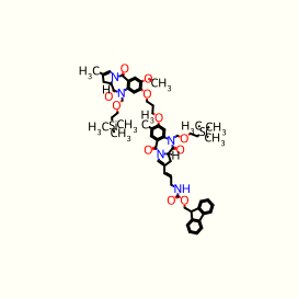 COc1cc2c(cc1OCCCOc1cc3c(cc1C)C(=O)N1C=C(/C=C/CNC(=O)OCC4c5ccccc5-c5ccccc54)C[C@H]1C(=O)N3COCC[Si](C)(C)C)N(COCC[Si](C)(C)C)C(=O)[C@@H]1CC(C)=CN1C2=O